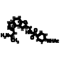 CC(=O)Nc1ccc(S(=O)(=O)NCc2cc3c(ccc4cnn(C[C@H](C)N)c43)o2)cc1